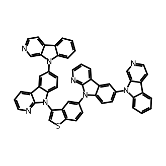 c1ccc2c(c1)c1ccncc1n2-c1ccc2c(c1)c1cccnc1n2-c1ccc2scc(-n3c4ccc(-n5c6ccccc6c6ccncc65)cc4c4cccnc43)c2c1